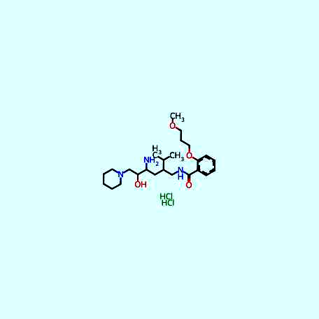 COCCCOc1ccccc1C(=O)NCC(CC(N)C(O)CN1CCCCC1)C(C)C.Cl.Cl